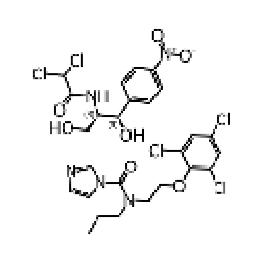 CCCN(CCOc1c(Cl)cc(Cl)cc1Cl)C(=O)n1ccnc1.O=C(N[C@H](CO)[C@H](O)c1ccc([N+](=O)[O-])cc1)C(Cl)Cl